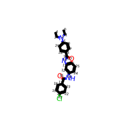 CCN(CC)c1ccc(-c2nc3cc(NC(=O)c4ccc(Cl)cc4)ccc3o2)cc1